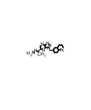 C/C(=N\N)c1cnc2nnn(Cc3ccc4ncccc4c3)c2n1